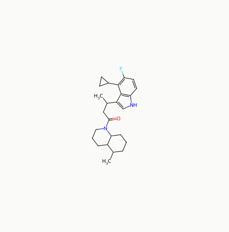 CC(CC(=O)N1CCCC2C(C)CCCC21)c1c[nH]c2ccc(F)c(C3CC3)c12